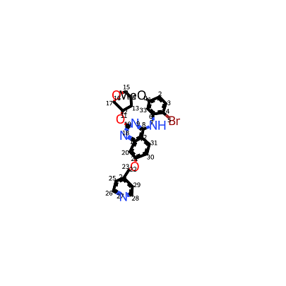 COc1ccc(Br)c(Nc2nc(OC3CCCOC3)nc3cc(OCc4ccncc4)ccc23)c1